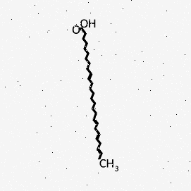 CCC=CCC=CCC=CCCCCCCCC=CCCCCCCCCC(=O)O